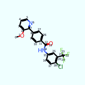 COc1cccnc1-c1ccc(C(=O)Nc2ccc(Cl)c(C(F)(F)F)c2)cc1